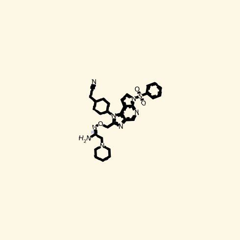 N#CCC1CCC(n2c(CO/N=C(/N)CN3CCCCC3)nc3cnc4c(ccn4S(=O)(=O)c4ccccc4)c32)CC1